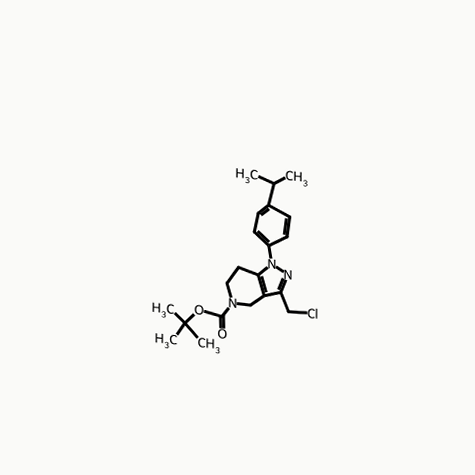 CC(C)c1ccc(-n2nc(CCl)c3c2CCN(C(=O)OC(C)(C)C)C3)cc1